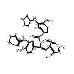 COc1ccc(C(=O)OC(=Cc2c(Cl)c[n+]([O-])cc2Cl)c2ccc(OC)c(OC3CCCC3)c2)cc1OC1CCCC1